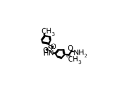 Cc1ccc(S(=O)(=O)Nc2ccc([C@@H](C)C(N)=O)cc2)cc1